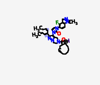 C=C/C=C\C(=C/C=C)c1nn2c(c1-n1ccn(-c3ccc4c(cnn4C)c3F)c1=O)CN(C(=O)C1CCCCCCCCC1BI)CC2